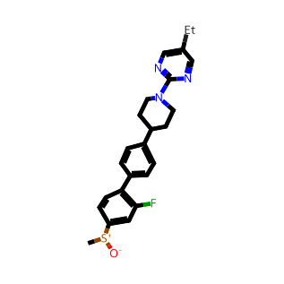 CCc1cnc(N2CCC(c3ccc(-c4ccc([S+](C)[O-])cc4F)cc3)CC2)nc1